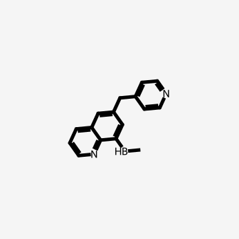 CBc1cc(Cc2ccncc2)cc2cccnc12